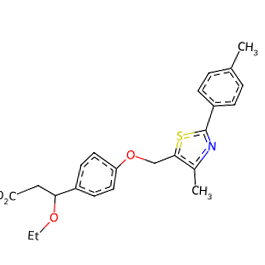 CCOC(CC(=O)O)c1ccc(OCc2sc(-c3ccc(C)cc3)nc2C)cc1